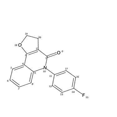 O=c1c2c(c3ccccc3n1-c1ccc(F)cc1)OCC2